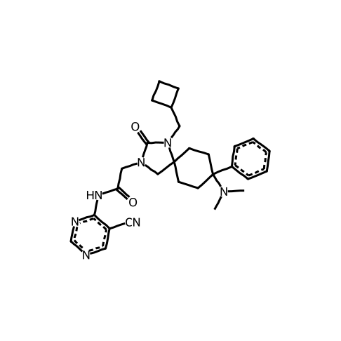 CN(C)C1(c2ccccc2)CCC2(CC1)CN(CC(=O)Nc1ncncc1C#N)C(=O)N2CC1CCC1